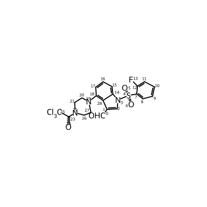 O=Cc1cn(S(=O)(=O)c2ccccc2F)c2cccc(N3CCN(C(=O)C(Cl)(Cl)Cl)CC3)c12